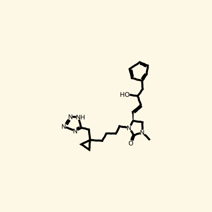 CN1C[C@H](C=CC(O)Cc2ccccc2)N(CCCCC2(Cc3nnn[nH]3)CC2)C1=O